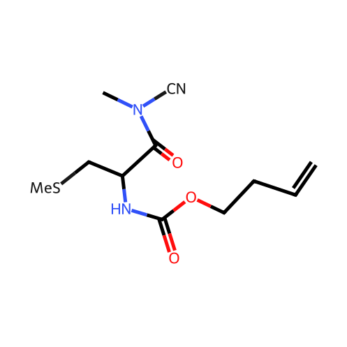 C=CCCOC(=O)NC(CSC)C(=O)N(C)C#N